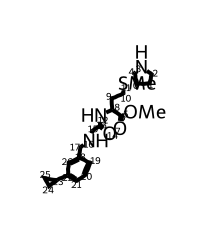 C1CCNC1.COC(=O)C(CCSC)NC(=O)CNCc1cccc(C2CC2)c1